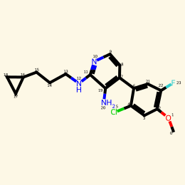 COc1cc(Cl)c(-c2ccnc(NCCCC3CC3)c2N)cc1F